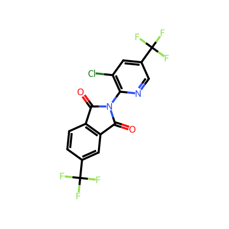 O=C1c2ccc(C(F)(F)F)cc2C(=O)N1c1ncc(C(F)(F)F)cc1Cl